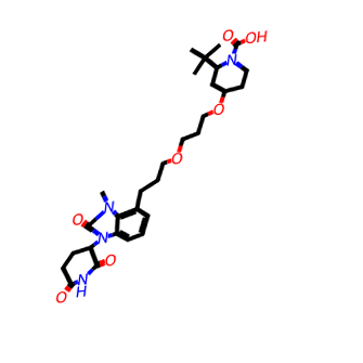 Cn1c(=O)n(C2CCC(=O)NC2=O)c2cccc(CCCOCCCOC3CCN(C(=O)O)C(C(C)(C)C)C3)c21